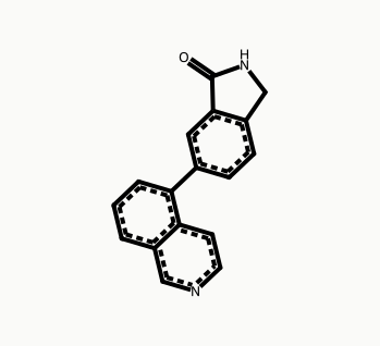 O=C1NCc2ccc(-c3cccc4cnccc34)cc21